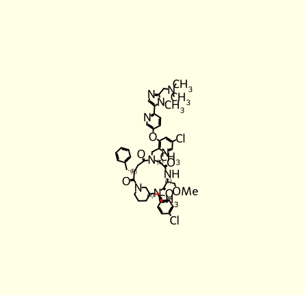 COC[C@@H]1NC(=O)[C@H](C)N(Cc2ncc(Cl)cc2Oc2ccc(-c3cnc(CN(C)C)n3C)nc2)C(=O)C[C@@H](Cc2ccccc2)C(=O)N2CCC[C@@](Cc3ccc(Cl)cc3)(C2)N(C)C1=O